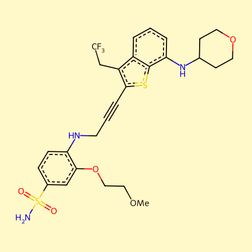 COCCOc1cc(S(N)(=O)=O)ccc1NCC#Cc1sc2c(NC3CCOCC3)cccc2c1CC(F)(F)F